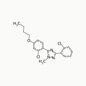 CCCCOc1ccc(-c2nc(-c3ccccc3Cl)nn2C)c(Cl)c1